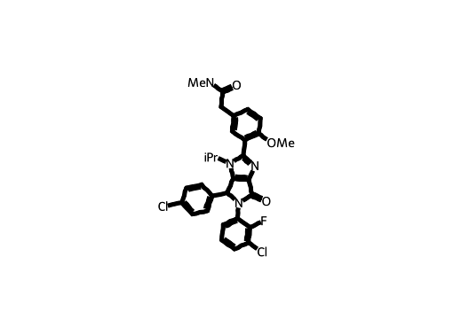 CNC(=O)Cc1ccc(OC)c(-c2nc3c(n2C(C)C)C(c2ccc(Cl)cc2)N(c2cccc(Cl)c2F)C3=O)c1